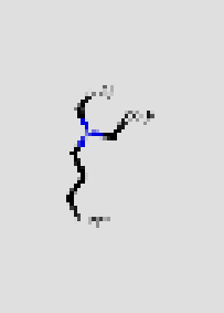 CCCCCCCCCCN(CC(=O)O)CC(=O)O